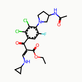 CCOC(=O)/C(=C\NC1CC1)C(=O)c1cc(F)c(N2CCC(NC(C)=O)C2)c(Cl)c1Cl